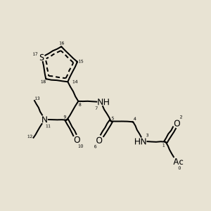 CC(=O)C(=O)NCC(=O)NC(C(=O)N(C)C)c1ccsc1